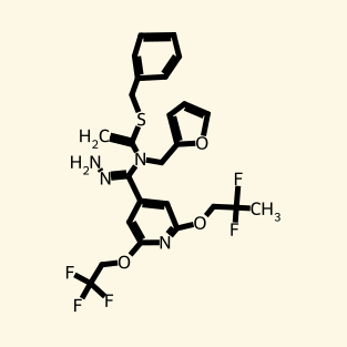 C=C(SCc1ccccc1)N(Cc1ccco1)/C(=N\N)c1cc(OCC(C)(F)F)nc(OCC(F)(F)F)c1